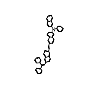 C(=C(c1ccccc1)c1ccccc1)c1ccc2cc(/C=C/c3ccc4cc(N(c5ccccc5)c5ccc6ccccc6c5)ccc4c3)ccc2c1